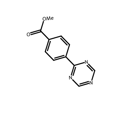 COC(=O)c1ccc(-c2ncncn2)cc1